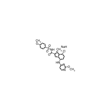 COc1ccc(S(=O)(=O)NC(=O)c2cc3c(Nc4ccnc(OC)n4)ccc(Cl)c3n2C)cc1.[NaH]